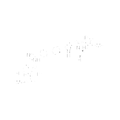 COC(=O)N[C@H](C(=O)N1C(c2ncc(-c3ccc(-c4ccc(-c5cnc(C6C[C@H]7CC[C@H]7N6C(=O)[C@@H](NC(=O)OC)C(C)C)[nH]5)cc4)cc3)[nH]2)CC[C@H]1C)C(C)C